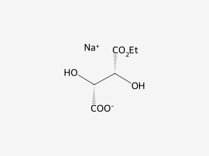 CCOC(=O)[C@H](O)[C@@H](O)C(=O)[O-].[Na+]